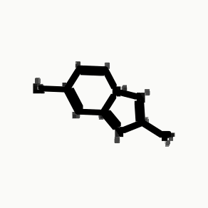 CCc1ccn2nc(C(C)C)nc2c1